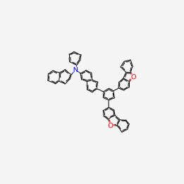 c1ccc(N(c2ccc3ccccc3c2)c2ccc3cc(-c4cc(-c5ccc6oc7ccccc7c6c5)cc(-c5ccc6oc7ccccc7c6c5)c4)ccc3c2)cc1